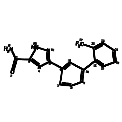 NC(=O)c1nc(-c2cccc(-c3ccccc3C(F)(F)F)c2)n[nH]1